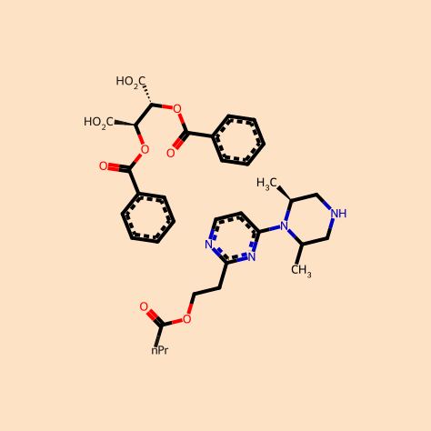 CCCC(=O)OCCc1nccc(N2C(C)CNC[C@@H]2C)n1.O=C(O[C@@H](C(=O)O)[C@@H](OC(=O)c1ccccc1)C(=O)O)c1ccccc1